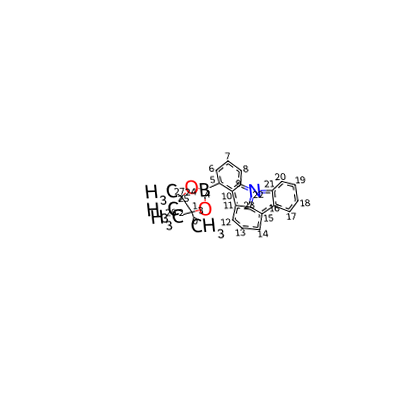 CC1(C)OB(c2cccc3c2c2cccc4c5ccccc5n3c42)OC1(C)C